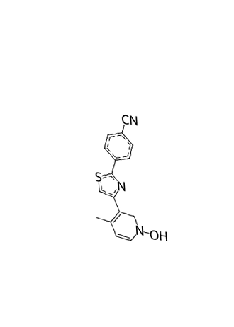 CC1=C(c2csc(-c3ccc(C#N)cc3)n2)CN(O)C=C1